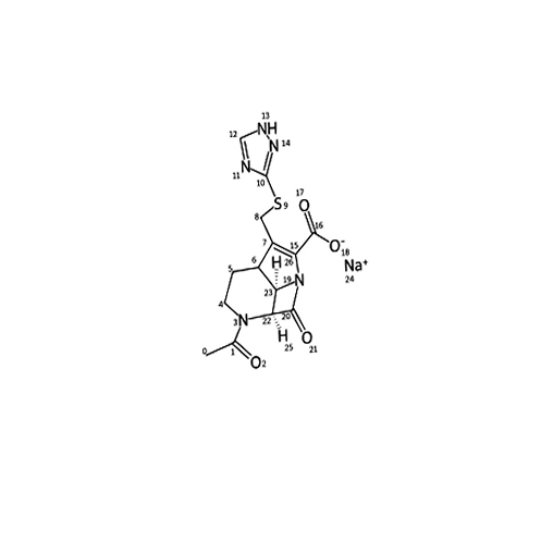 CC(=O)N1CCC2C(CSc3nc[nH]n3)=C(C(=O)[O-])N3C(=O)[C@@H]1[C@@H]23.[Na+]